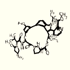 CCn1c(-c2cccnc2[C@H](C)OC)c2c3cc(ccc31)-c1cc(O)cc(c1)C[C@H](NC(=O)C(C(C)C)N1C[C@H](N)CC1=O)C(=O)N1CCC[C@H](N1)C(=O)OCC(C)(C)C2